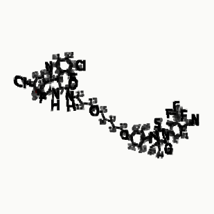 CC(C)(C)CC1NC(C(=O)NCCCOCCCCCOc2ccc(N3C(=S)N(c4ccc(C#N)c(C(F)(F)F)c4)C(=O)C3(C)C)cc2)C(c2cccc(Cl)c2F)C1(C#N)c1ccc(Cl)cc1F